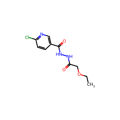 CCOCC(=O)NNC(=O)c1ccc(Cl)nc1